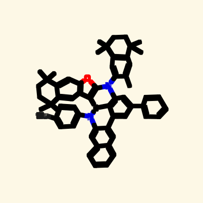 Cc1cc2c(cc1N1c3cc(-c4ccccc4)cc4c3B(c3c1oc1cc5c(cc31)C(C)(C)CCC5(C)C)N(c1ccc(C(C)(C)C)cc1)c1cc3ccccc3cc1-4)C(C)(C)CCC2(C)C